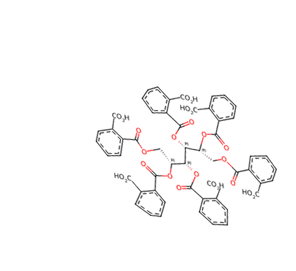 O=C(O)c1ccccc1C(=O)OC[C@@H](OC(=O)c1ccccc1C(=O)O)[C@@H](OC(=O)c1ccccc1C(=O)O)[C@H](OC(=O)c1ccccc1C(=O)O)[C@@H](COC(=O)c1ccccc1C(=O)O)OC(=O)c1ccccc1C(=O)O